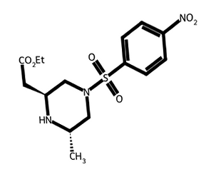 CCOC(=O)C[C@H]1CN(S(=O)(=O)c2ccc([N+](=O)[O-])cc2)C[C@H](C)N1